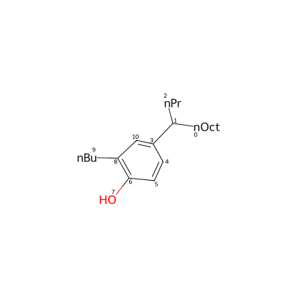 CCCCCCCCC(CCC)c1ccc(O)c(CCCC)c1